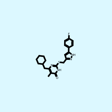 Cc1c(CC2CCCCC2)nc(SCc2cc(-c3ccc(F)cc3)[nH]n2)[nH]c1=O